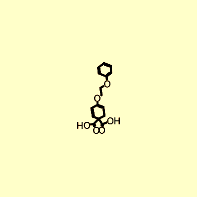 O=C(O)C1(C(=O)O)C=CC(OCCOc2ccccc2)=CC1